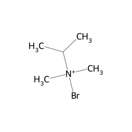 CC(C)[N+](C)(C)Br